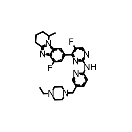 CCN1CCN(Cc2ccc(Nc3ncc(F)c(-c4cc(F)c5nc6n(c5c4)C(C)CCC6)n3)nc2)CC1